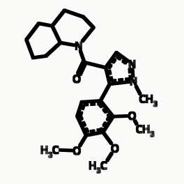 COc1ccc(-c2c(C(=O)N3CCCC4CCCCC43)cnn2C)c(OC)c1OC